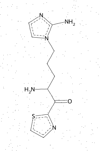 Nc1nccn1CCCC(N)C(=O)c1nccs1